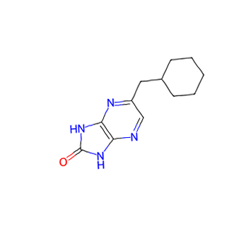 O=c1[nH]c2ncc(CC3CCCCC3)nc2[nH]1